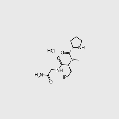 CC(C)C[C@@H](C(=O)NCC(N)=O)N(C)C(=O)[C@@H]1CCCN1.Cl